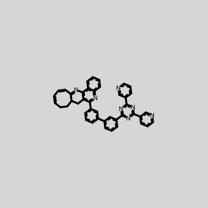 C1=C\CCC2Cc3c(-c4cccc(-c5cccc(-c6nc(-c7cccnc7)nc(-c7cccnc7)n6)c5)c4)nc4ccccc4c3N=C2\C=C/1